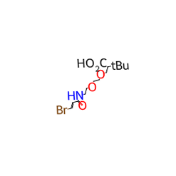 CC(C)(C)C(COCCOCCNC(=O)C=CBr)C(=O)O